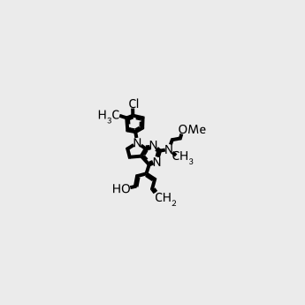 C=C/C=C(\C=C\O)c1nc(N(C)CCOC)nc2c1CCN2c1ccc(Cl)c(C)c1